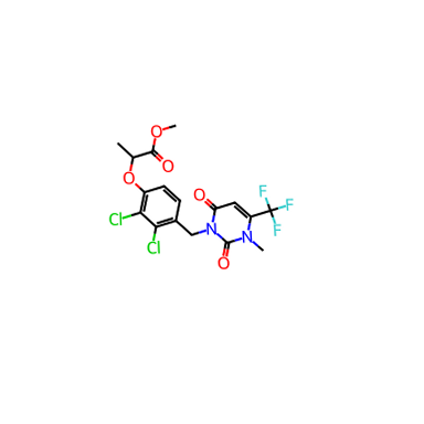 COC(=O)C(C)Oc1ccc(Cn2c(=O)cc(C(F)(F)F)n(C)c2=O)c(Cl)c1Cl